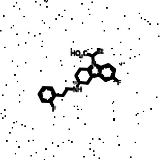 CCC(C(=O)O)n1c2c(c3cc(F)ccc31)C[C@@H](NCCc1ccccc1F)CC2